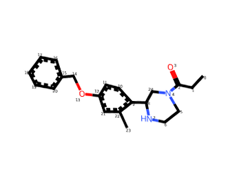 CCC(=O)N1CCNC(c2ccc(OCc3ccccc3)cc2C)C1